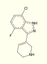 Fc1ccc(Cl)c2[nH]nc(C3=CCCNC3)c12